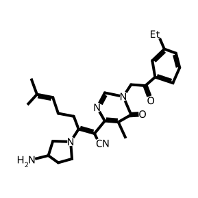 CCc1cccc(C(=O)Cn2cnc(/C(C#N)=C(\CCC=C(C)C)N3CCC(N)C3)c(C)c2=O)c1